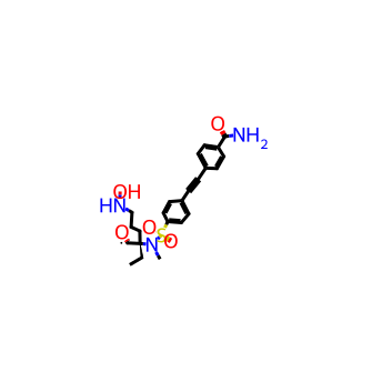 CC[C@@]([C]=O)(CCCNO)N(C)S(=O)(=O)c1ccc(C#Cc2ccc(C(N)=O)cc2)cc1